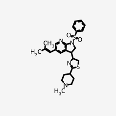 CC(C)=Cc1cnc2c(c1)C(C1CSC(C3CCN(C)CC3)=N1)CN2S(=O)(=O)c1ccccc1